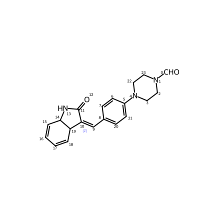 O=CN1CCN(c2ccc(/C=C3\C(=O)NC4C=CC=CC34)cc2)CC1